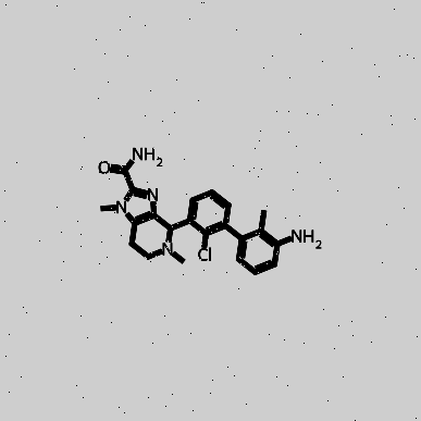 Cc1c(N)cccc1-c1cccc(C2c3nc(C(N)=O)n(C)c3CCN2C)c1Cl